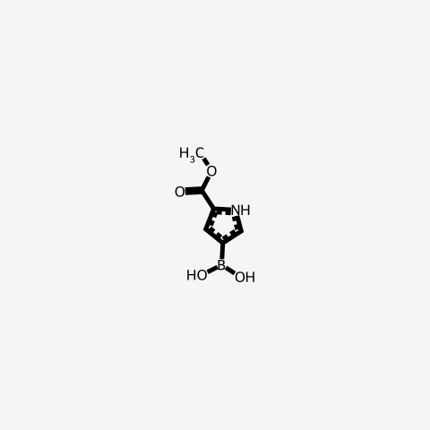 COC(=O)c1cc(B(O)O)c[nH]1